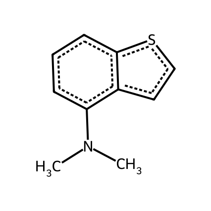 CN(C)c1cccc2sccc12